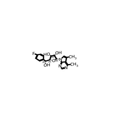 Cc1cn([C@@H]2O[C@H]([C@H](O)c3ccc(F)cc3)[C@@H](O)[C@H]2O)c2ncnc(C)c12